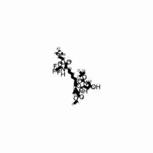 CCOC(=O)[C@@]1(NC(=O)[C@@H]2C[C@@H](O)CN2C(=O)OC(C)(C)C)C[C@H]1C#CCCCCC[C@H](NC(=O)C(F)(F)F)C(=O)OCC[Si](C)(C)C